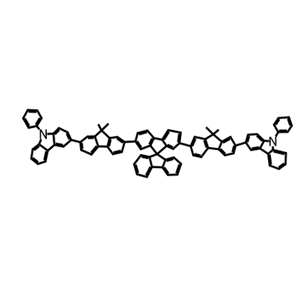 CC1(C)c2cc(-c3ccc4c(c3)C3(c5ccccc5-c5ccccc53)c3cc(-c5ccc6c(c5)C(C)(C)c5cc(-c7ccc8c(c7)c7ccccc7n8-c7ccccc7)ccc5-6)ccc3-4)ccc2-c2ccc(-c3ccc4c(c3)c3ccccc3n4-c3ccccc3)cc21